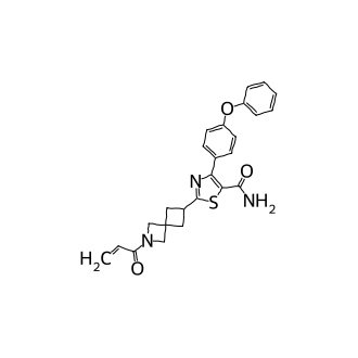 C=CC(=O)N1CC2(CC(c3nc(-c4ccc(Oc5ccccc5)cc4)c(C(N)=O)s3)C2)C1